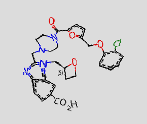 O=C(O)c1ccc2nc(CN3CCN(C(=O)c4ccc(COc5ccccc5Cl)o4)CC3)n(C[C@@H]3CCO3)c2c1